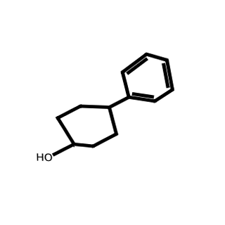 O[C]1CCC(c2ccccc2)CC1